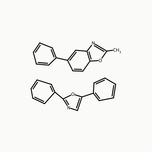 Cc1nc2cc(-c3ccccc3)ccc2o1.c1ccc(-c2cnc(-c3ccccc3)o2)cc1